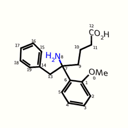 COc1ccccc1C(N)(CCCC(=O)O)Cc1ccccc1